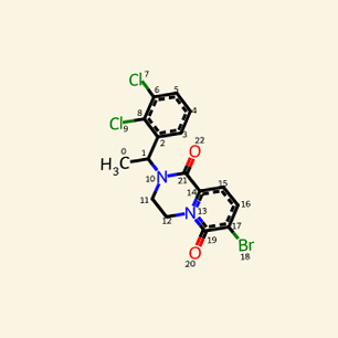 CC(c1cccc(Cl)c1Cl)N1CCn2c(ccc(Br)c2=O)C1=O